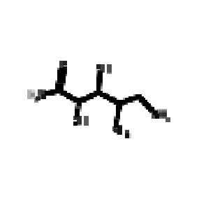 NCC(N)C(O)C(O)C(N)=O